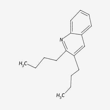 CCCCc1cc2ccccc2nc1CCCC